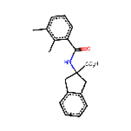 Cc1cccc(C(=O)NC2(C(=O)O)Cc3ccccc3C2)c1C